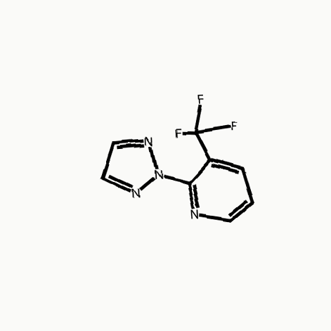 FC(F)(F)c1cccnc1-n1nccn1